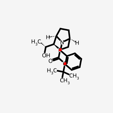 C[C@@H](O)[C@H]1[C@H]2CC[C@@H](CN1C(=O)OC(C)(C)C)N2Cc1ccccc1